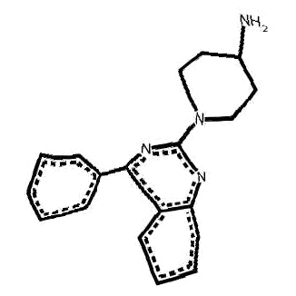 NC1CCN(c2nc(-c3ccccc3)c3ccccc3n2)CC1